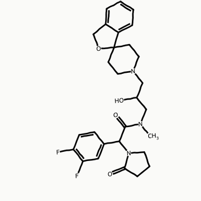 CN(CC(O)CN1CCC2(CC1)OCc1ccccc12)C(=O)C(c1ccc(F)c(F)c1)N1CCCC1=O